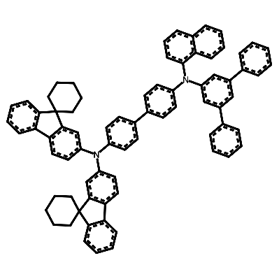 c1ccc(-c2cc(-c3ccccc3)cc(N(c3ccc(-c4ccc(N(c5ccc6c(c5)C5(CCCCC5)c5ccccc5-6)c5ccc6c(c5)C5(CCCCC5)c5ccccc5-6)cc4)cc3)c3cccc4ccccc34)c2)cc1